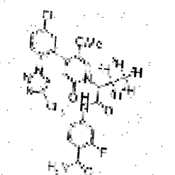 [2H]C([2H])([2H])C([2H])([2H])[C@@H](C(=O)Nc1ccc(C(N)=O)c(F)c1)n1cc(OC)c(-c2cc(Cl)ccc2-n2cc(C(F)(F)F)nn2)cc1=O